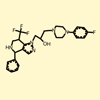 OC(CN1CCN(c2ccc(F)cc2)CC1)Cn1ncc2c1C(C(F)(F)F)CNC2c1ccccc1